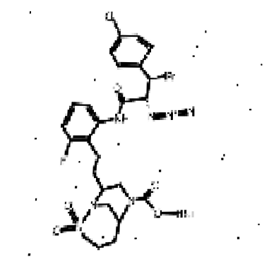 CC(C)[C@H](c1ccc(Cl)cc1)[C@H](N=[N+]=[N-])C(=O)Nc1cccc(F)c1CCC1CN(C(=O)OC(C)(C)C)C2CCCS(=O)(=O)N1C2